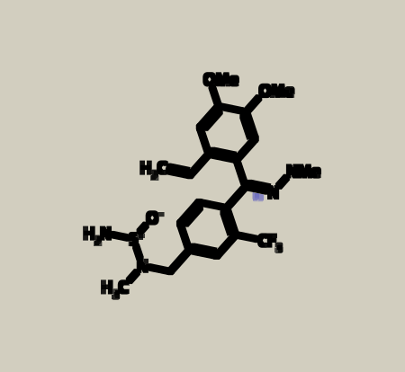 C=Cc1cc(OC)c(OC)cc1/C(=N\NC)c1ccc(CN(C)[S+](N)[O-])cc1C(F)(F)F